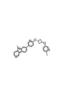 Cn1c2ccncc2c2ccc(-c3ccc(O[C@H]4C[C@H](Oc5ccc(I)nc5)C4)nc3)cc21